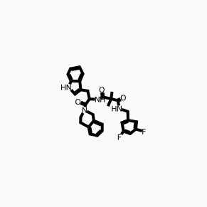 CC(C)(C(=O)NCc1cc(F)cc(F)c1)C(=O)NC(Cc1c[nH]c2ccccc12)C(=O)N1CCc2ccccc2C1